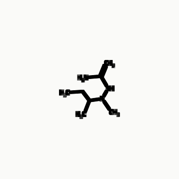 C=C(N)NN(C)C(C)CC